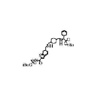 CC(C)COC(C)ONC(=O)c1cc2ccc(CNCC3CCC(CNC(C(=O)OC(C)(C)C)c4ccccc4)CC3)cc2s1